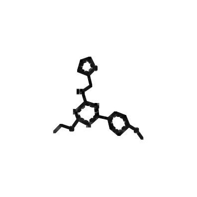 CCOc1nc(NCc2ccco2)nc(-c2ccc(OC)cc2)n1